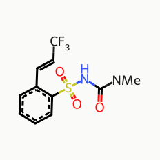 CNC(=O)NS(=O)(=O)c1ccccc1/C=C/C(F)(F)F